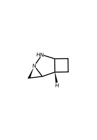 C1C[C@H]2C1N[N@]1CC21